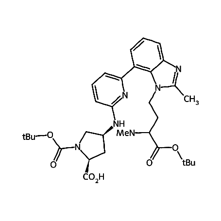 CNC(CCn1c(C)nc2cccc(-c3cccc(N[C@H]4C[C@@H](C(=O)O)N(C(=O)OC(C)(C)C)C4)n3)c21)C(=O)OC(C)(C)C